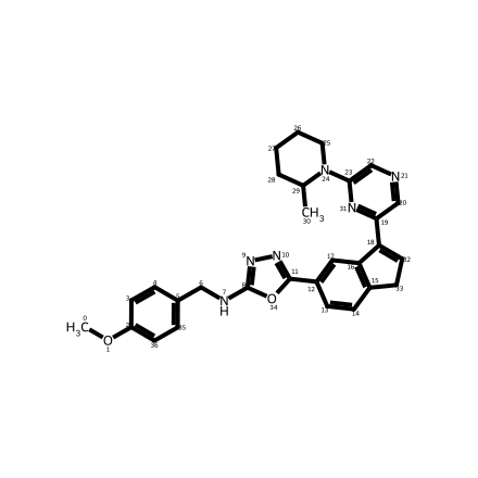 COc1ccc(CNc2nnc(-c3ccc4c(c3)C(c3cncc(N5CCCCC5C)n3)=CC4)o2)cc1